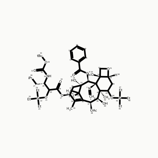 C=N[C@]12[C@H](OC(=O)c3ccccc3)[C@]3(O)C[C@H](OC(=O)C(O[Si](CC)(CC)CC)[C@H](CC(C)C)NC(=O)OC(C)(C)C)C(C)=C([C@H](OC(C)=O)[C@H](O)[C@]1(C)C(O[Si](CC)(CC)CC)C[C@H]1OC[C@]12OC(C)=O)C3(C)C